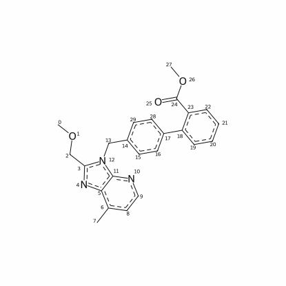 COCc1nc2c(C)ccnc2n1Cc1ccc(-c2ccccc2C(=O)OC)cc1